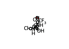 O=C1C2CCC(CC2)N1c1ccc(NC(=O)N2CC(O)CN2C(=O)Nc2ccc(Cl)cc2)cc1C(F)(F)F